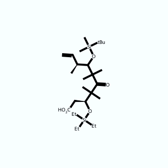 C=C[C@H](C)C(O[Si](C)(C)C(C)(C)C)C(C)(C)C(=O)C(C)(C)[C@H](CC(=O)O)O[Si](CC)(CC)CC